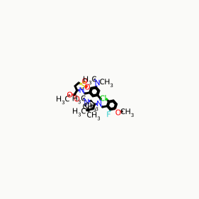 COC(=O)C1CCS(=O)(=O)N1Cc1cc(CN(Cc2c(Cl)ccc(OC)c2F)[C@H](CN(C)C)CC(C)(C)C)cc(N(C)C)c1